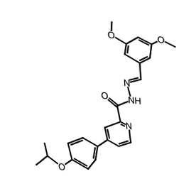 COc1cc(C=NNC(=O)c2cc(-c3ccc(OC(C)C)cc3)ccn2)cc(OC)c1